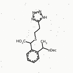 CCCCCCCCCCC(C)c1ccccc1C(SCCc1nnn[nH]1)C(=O)O